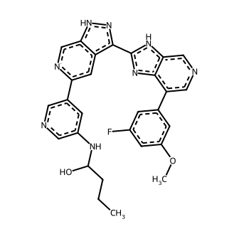 CCCC(O)Nc1cncc(-c2cc3c(-c4nc5c(-c6cc(F)cc(OC)c6)cncc5[nH]4)n[nH]c3cn2)c1